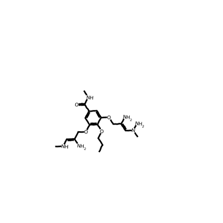 CCCOc1c(OC/C(N)=C/NC)cc(C(=O)NC)cc1OC/C(N)=C/N(C)N